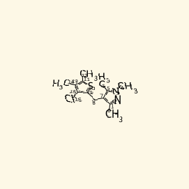 Cc1nn(C)c(C)c1Cc1sc(C)c(C)c1Cl